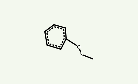 CSOc1ccccc1